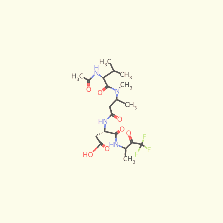 CC(=O)N[C@H](C(=O)N(C)C(C)CC(=O)N[C@@H](CC(=O)O)C(=O)NC(C)C(=O)C(F)(F)F)C(C)C